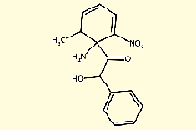 CC1C=CC=C([N+](=O)[O-])C1(N)C(=O)C(O)c1ccccc1